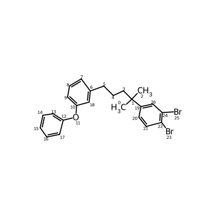 CC(C)(CCCc1cccc(Oc2ccccc2)c1)c1ccc(Br)c(Br)c1